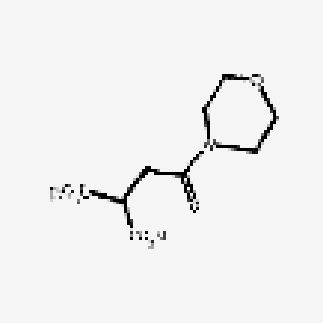 CCOC(=O)C(CC(=O)N1CCOCC1)C(=O)O